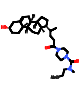 COCCN(C)C(=O)N1CCN(C(=O)CCC(C)[C@H]2CC[C@H]3[C@@H]4CC=C5C[C@@H](O)CC[C@]5(C)[C@H]4CC[C@]23C)CC1